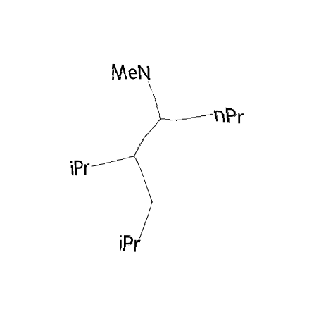 CCCC(NC)C(CC(C)C)C(C)C